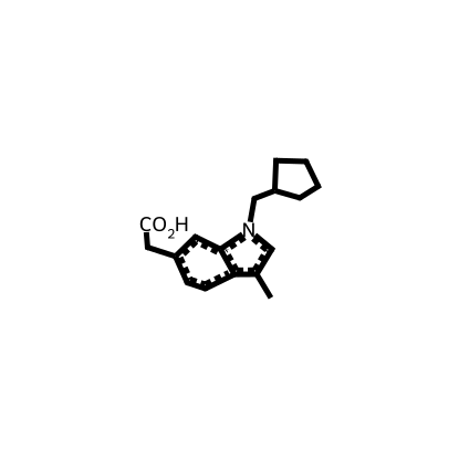 Cc1cn(CC2CCCC2)c2cc(CC(=O)O)ccc12